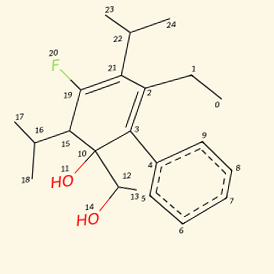 CCC1=C(c2ccccc2)C(O)(C(C)O)C(C(C)C)C(F)=C1C(C)C